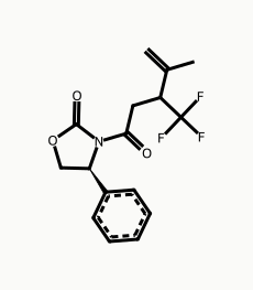 C=C(C)C(CC(=O)N1C(=O)OC[C@@H]1c1ccccc1)C(F)(F)F